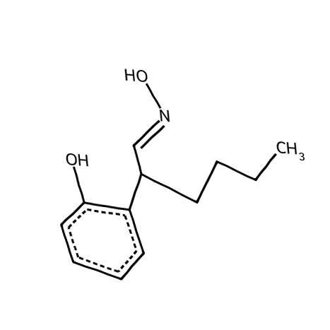 CCCCC(C=NO)c1ccccc1O